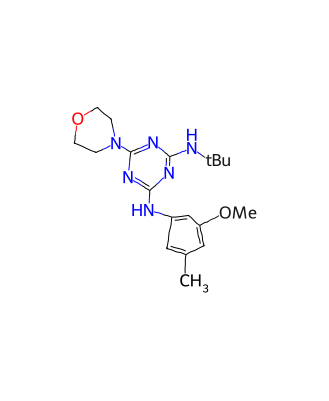 COc1cc(C)cc(Nc2nc(NC(C)(C)C)nc(N3CCOCC3)n2)c1